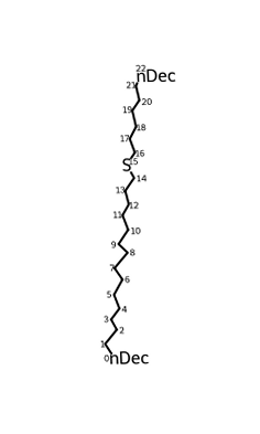 CCCCCCCCCCCCCCCCCCCCCCCCSCCCCCCCCCCCCCCCC